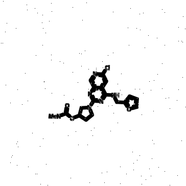 CNC(=O)OC1CCN(c2nc(NCc3ccco3)c3cc(Cl)ncc3n2)C1